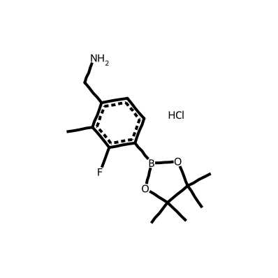 Cc1c(CN)ccc(B2OC(C)(C)C(C)(C)O2)c1F.Cl